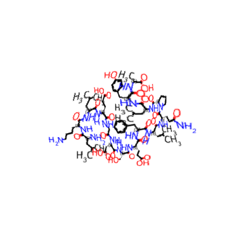 CC(C)C[C@H](NC(=O)[C@H](CCCCN)NC(=O)[C@@H](N)CC(C)C)C(=O)N[C@@H](CCC(=O)O)C(=O)NCC(=O)N[C@@H](CC(=O)O)C(=O)N[C@@H](CO)C(=O)N[C@@H](CCC(=O)O)C(=O)N[C@@H](Cc1ccccc1)C(=O)N[C@@H](CC(C)C)C(=O)N[C@@H](CCC(N)=O)C(=O)N1CCC[C@H]1C(=O)N[C@@H](CC(C)C)C(=O)N[C@@H](Cc1ccc(O)cc1)C(=O)N[C@@H](C)C(=O)O